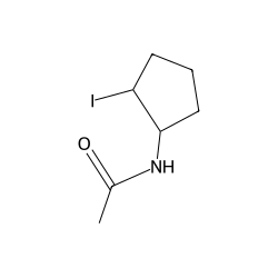 CC(=O)NC1CCCC1I